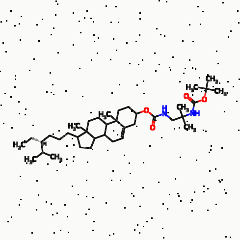 CC[C@H](CCCC1CCC2C3CC=C4CC(OC(=O)NCC(C)(C)NC(=O)OC(C)(C)C)CCC4(C)C3CCC12C)C(C)C